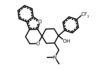 CN(C)CC1CC2(CCC1(O)c1ccc(C(F)(F)F)cc1)OCCc1c2oc2ccccc12